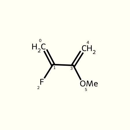 C=C(F)C(=C)OC